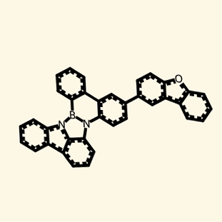 c1ccc2c(c1)B1N(c3ccc(-c4ccc5oc6ccccc6c5c4)cc3-2)c2cccc3c4ccccc4n1c23